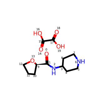 O=C(NC1CCNCC1)[C@H]1CCCO1.O=C(O)C(=O)O